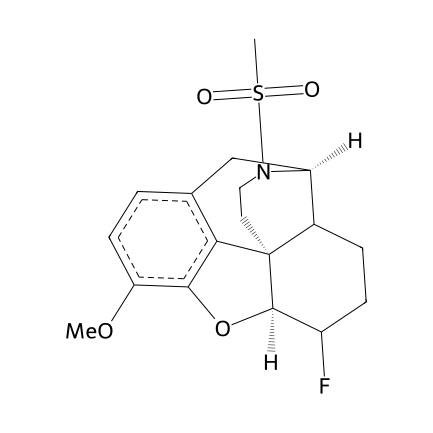 COc1ccc2c3c1O[C@@H]1C(F)CCC4[C@H](C2)N(S(C)(=O)=O)CC[C@]341